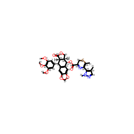 COc1cc([C@@H]2c3cc4c(cc3[C@H](OC(=O)C3=NC(c5c(C)cnn5C)=C(C)SC3)[C@H]3COC(=O)[C@@H]23)OCO4)cc(OC)c1OC